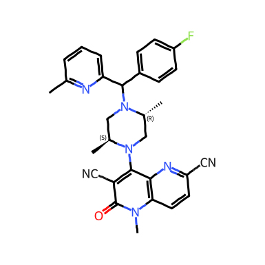 Cc1cccc(C(c2ccc(F)cc2)N2C[C@H](C)N(c3c(C#N)c(=O)n(C)c4ccc(C#N)nc34)C[C@H]2C)n1